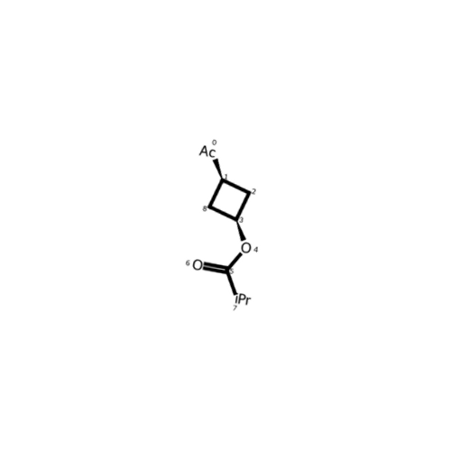 CC(=O)[C@H]1C[C@@H](OC(=O)C(C)C)C1